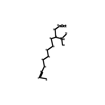 C/C=C\CCCCCCC(CCCCCCCCC)N(C)C